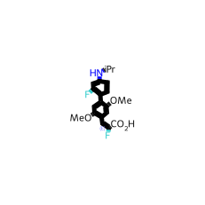 COc1cc(-c2ccc(NC(C)C)cc2F)c(OC)cc1/C=C(/F)C(=O)O